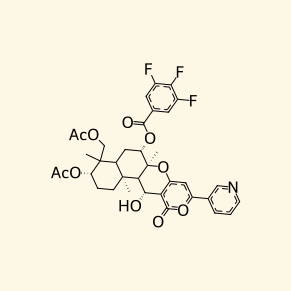 CC(=O)OCC1(C)C2C[C@H](OC(=O)c3cc(F)c(F)c(F)c3)[C@@]3(C)Oc4cc(-c5cccnc5)oc(=O)c4[C@H](O)C3[C@@]2(C)CC[C@@H]1OC(C)=O